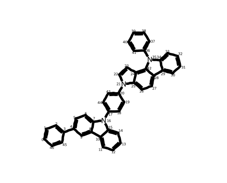 c1ccc(-c2ccc3c(c2)c2ccccc2n3-c2ccc(-n3ccc4c3ccc3c5ccccc5n(-c5ccccc5)c34)cc2)cc1